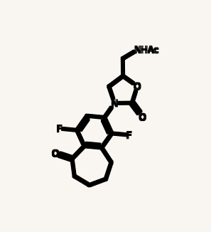 CC(=O)NCC1CN(c2cc(F)c3c(c2F)CCCCC3=O)C(=O)O1